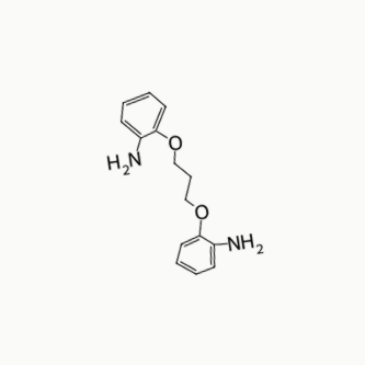 Nc1ccccc1OCCCOc1ccccc1N